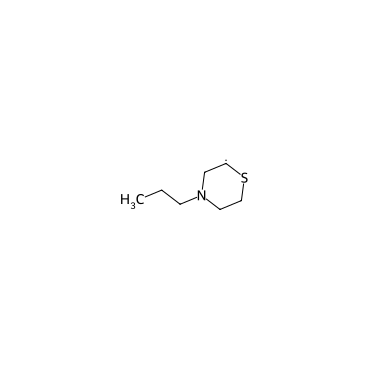 CCCN1C[CH]SCC1